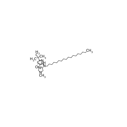 CCCCCCCCCCCCCCCCCCNC1CN(C)C[N+]1([O-])c1nnc(C(C)(C)C)s1